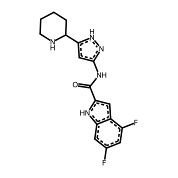 O=C(Nc1cc(C2CCCCN2)[nH]n1)c1cc2c(F)cc(F)cc2[nH]1